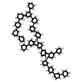 c1ccc(-c2cccc(-c3ccc(-c4cccc(-c5cc(-c6ccccc6)cc(-c6cccc(-c7cccc(-c8cccc(-n9c%10ccc(-c%11ccccc%11)cc%10c%10cc(-c%11ccc%12c(c%11)c%11cc(-c%13ccccc%13)ccc%11n%12-c%11cccc(-c%12ccc(-c%13cccc(-c%14ccccc%14)c%13)cc%12)c%11)ccc%109)c8)c7)c6)c5)c4)cc3)c2)cc1